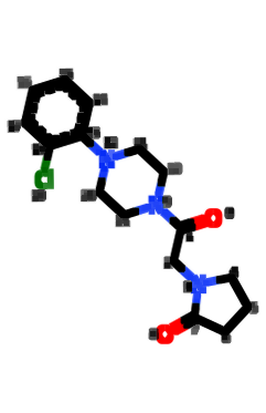 O=C(CN1CCCC1=O)N1CCN(c2ccccc2Cl)CC1